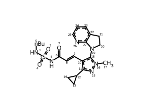 CCCCNS(=O)(=O)NC(=O)C=Cc1c(C2CC2)nn(C)c1N1CCc2cccnc21